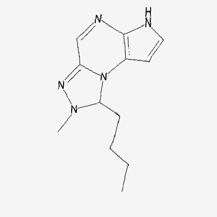 CCCCC1N(C)N=C2C=Nc3[nH]ccc3N21